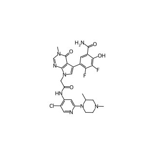 CC1CN(C)CCN1c1cc(NC(=O)Cn2cc(-c3cc(C(N)=O)c(O)c(F)c3F)c3c(=O)n(C)cnc32)c(Cl)cn1